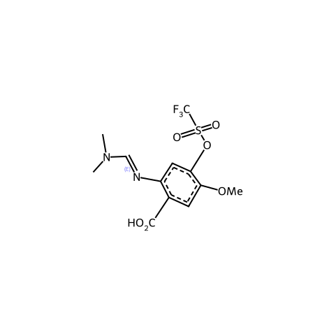 COc1cc(C(=O)O)c(/N=C/N(C)C)cc1OS(=O)(=O)C(F)(F)F